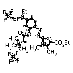 CCOC(=O)c1sc(N=Nc2ccc(N(CC)CC)cc2OC(=O)C[N+](C)(C)C)[n+](C)c1C.F[B-](F)(F)F.F[B-](F)(F)F